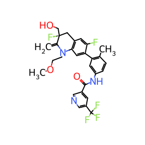 C=C1N(CCOC)c2cc(-c3cc(NC(=O)c4cncc(C(F)(F)F)c4)ccc3C)c(F)cc2C[C@@]1(F)CO